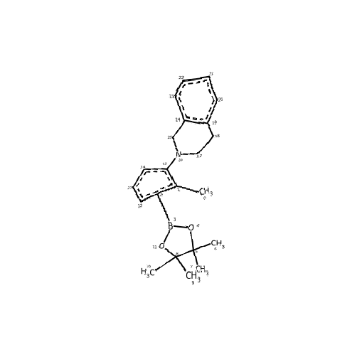 Cc1c(B2OC(C)(C)C(C)(C)O2)cccc1N1CCc2ccccc2C1